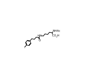 CC(=O)NC(CCCCNC(=O)CCCc1ccc(I)cc1)C(=O)O